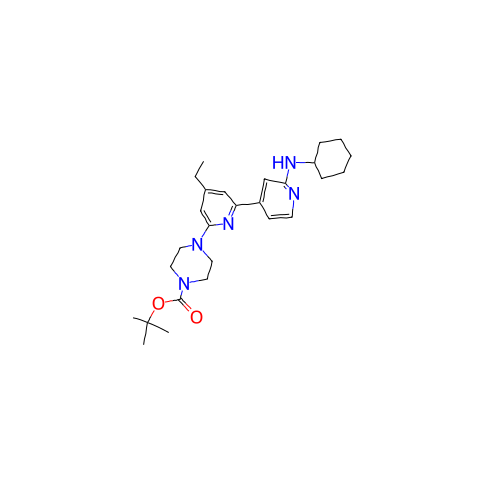 CCc1cc(-c2ccnc(NC3CCCCC3)c2)nc(N2CCN(C(=O)OC(C)(C)C)CC2)c1